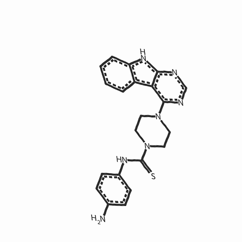 Nc1ccc(NC(=S)N2CCN(c3ncnc4[nH]c5ccccc5c34)CC2)cc1